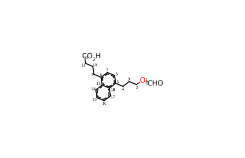 O=COCCCc1ccc(CCCC(=O)O)c2ccccc12